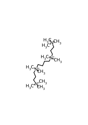 C[N+](C)(C)CCC[N+](C)(C)CCCC[N+](C)(C)CCC[N+](C)(C)C